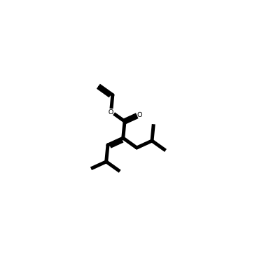 C=COC(=O)C(=CC(C)C)CC(C)C